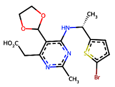 Cc1nc(CC(=O)O)c(C2OCCO2)c(N[C@H](C)c2ccc(Br)s2)n1